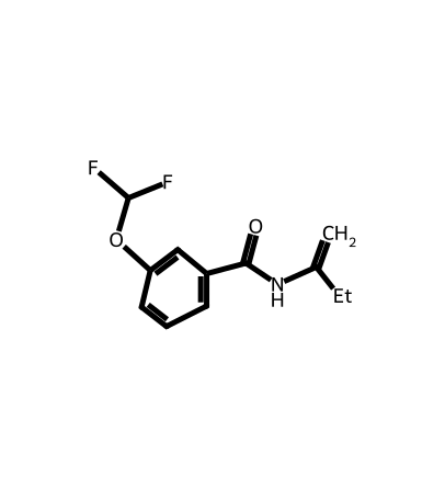 C=C(CC)NC(=O)c1cccc(OC(F)F)c1